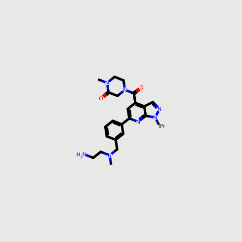 CC(C)n1ncc2c(C(=O)N3CCN(C)C(=O)C3)cc(-c3cccc(CN(C)CCN)c3)nc21